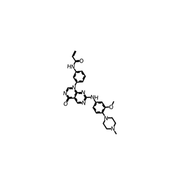 C=CC(=O)Nc1cccc(-n2cnc(=O)c3cnc(Nc4ccc(N5CCN(C)CC5)c(OC)c4)nc32)c1